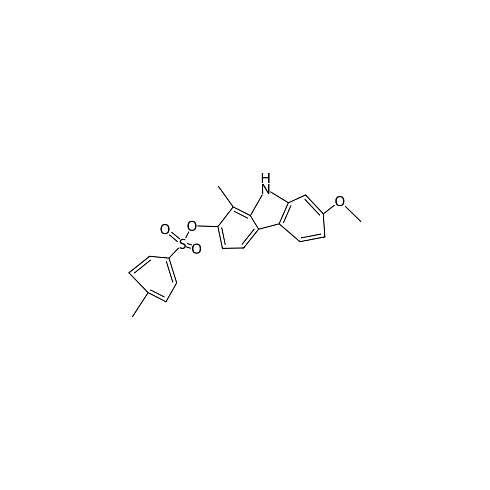 COc1ccc2c(c1)[nH]c1c(C)c(OS(=O)(=O)c3ccc(C)cc3)ccc12